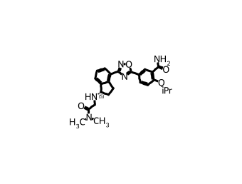 CC(C)Oc1ccc(-c2nc(-c3cccc4c3CC[C@@H]4NCC(=O)N(C)C)no2)cc1C(N)=O